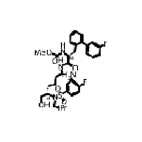 COC(=O)N[C@@H](Cc1ccccc1-c1cccc(F)c1)C(=O)NCCCC[C@@H](CO)N(CC(C)C)S(=O)(=O)c1ccc(F)c(N)c1